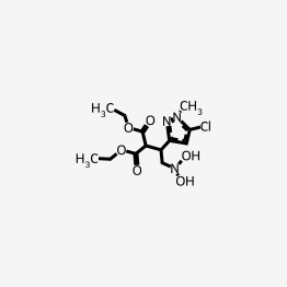 CCOC(=O)C(C(=O)OCC)C(CN(O)O)c1cc(Cl)n(C)n1